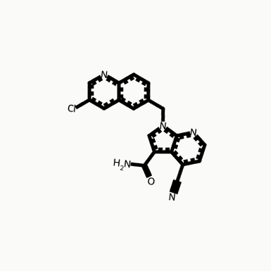 N#Cc1ccnc2c1c(C(N)=O)cn2Cc1ccc2ncc(Cl)cc2c1